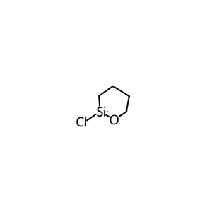 Cl[Si]1CCCCO1